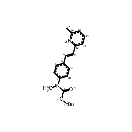 CN(C(=O)OC(C)(C)C)c1ccc(/C=C/c2cccc(I)n2)cc1